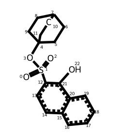 O=S(=O)(OC12CCC(CC1)CC2)c1ccc2ccccc2c1O